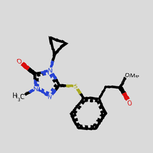 COC(=O)Cc1ccccc1Sc1nn(C)c(=O)n1C1CC1